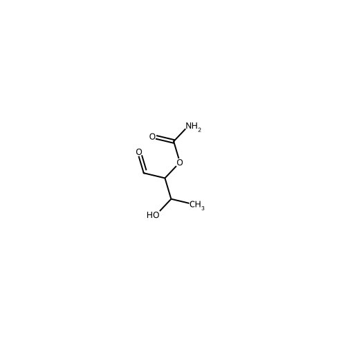 CC(O)C(C=O)OC(N)=O